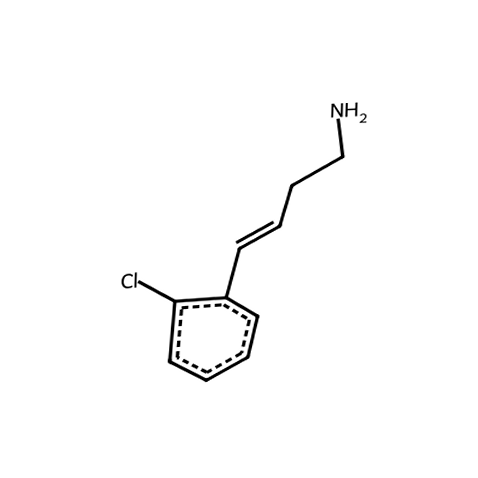 NCCC=Cc1ccccc1Cl